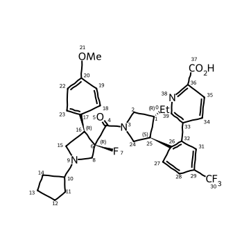 CC[C@H]1CN(C(=O)[C@]2(F)CN(C3CCCC3)C[C@H]2c2ccc(OC)cc2)C[C@@H]1c1ccc(C(F)(F)F)cc1-c1ccc(C(=O)O)nc1